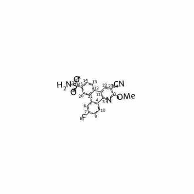 COc1nc(-c2ccc(F)cc2)c(-c2ccc(S(N)(=O)=O)cc2)cc1C#N